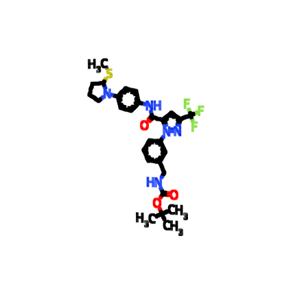 CSC1CCCN1c1ccc(NC(=O)c2cc(C(F)(F)F)nn2-c2cccc(CNC(=O)OC(C)(C)C)c2)cc1